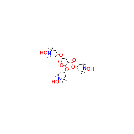 CC1(C)CC(OC(=O)CC(C(=O)OC2CC(C)(C)N(O)C(C)(C)C2)C(=O)OC2CC(C)(C)N(O)C(C)(C)C2)CC(C)(C)N1O